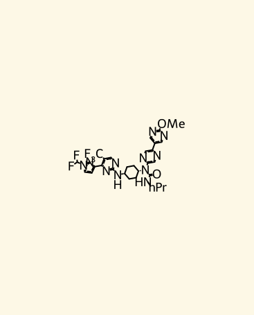 CCCNC(=O)N(c1cnc(-c2cnc(OC)nc2)cn1)[C@H]1CC[C@H](Nc2ncc(C(F)(F)F)c(-c3ccn(C(F)F)n3)n2)CC1